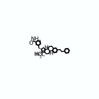 C[C@]12CC[C@@H]3c4ccc(CCc5ccccc5)cc4CC[C@H]3[C@@H]1C[C@H](Cc1cccc(C(N)=O)c1)[C@@H]2O